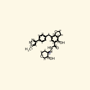 Cn1cc(-c2ccc(Cc3cc(C(=O)N/N=C4\CCOC[C@@H]4O)c(O)c4c3OCC4)cc2)nn1